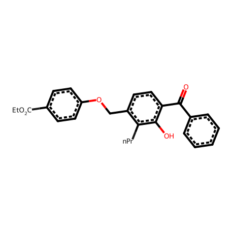 CCCc1c(COc2ccc(C(=O)OCC)cc2)ccc(C(=O)c2ccccc2)c1O